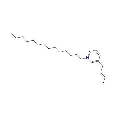 CCCCCCCCCCCCCC[n+]1cccc(CCCC)c1